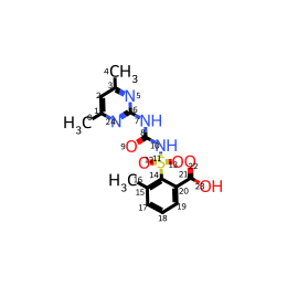 Cc1cc(C)nc(NC(=O)NS(=O)(=O)c2c(C)cccc2C(=O)O)n1